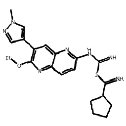 CCOc1nc2ccc(NC(=N)SC(=N)C3CCCC3)nc2cc1-c1cnn(C)c1